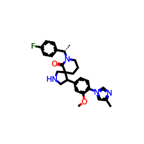 COc1cc(C2CNCC23CCCN([C@@H](C)c2ccc(F)cc2)C3=O)ccc1-n1cnc(C)c1